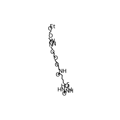 [CH2]COCCOCc1cn(CCOCCOCCOCCNC(=O)CCCC[C@H]2SC[C@H]3NC(=O)N[C@H]32)nn1